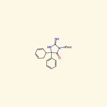 CCCCCN1C(=N)NC(c2ccccc2)(C2C=CC=CC2)C1=O